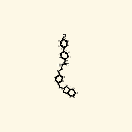 O=C(NCCc1ccc(CN2Cc3ccccc3C2)cc1)c1ccc(-c2ccc(Cl)cc2)cc1